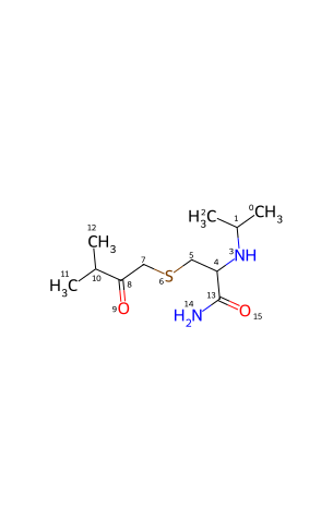 CC(C)NC(CSCC(=O)C(C)C)C(N)=O